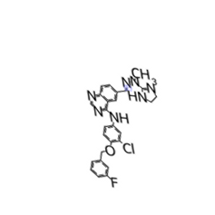 CN(/N=C/c1ccc2ncnc(Nc3ccc(OCc4cccc(F)c4)c(Cl)c3)c2c1)C1=NCCN1